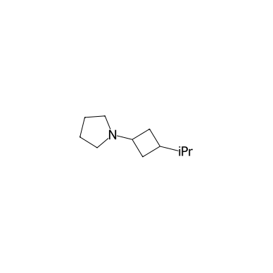 CC(C)C1CC(N2CCCC2)C1